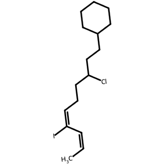 C/C=C\C(I)=C/CCC(Cl)CCC1CCCCC1